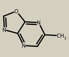 Cc1cnc2ncoc2n1